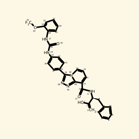 C=C(O)[C@H](Cc1ccccc1)NC(=O)c1cccn2c(-c3ccc(NC(=O)Nc4ccccc4OC(F)(F)F)cc3)nnc12